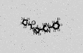 O=C(Cn1cc(-c2cnc(-c3cccc(I)c3)nc2)cn1)N1CCCC1